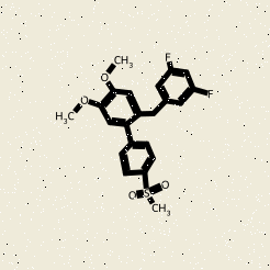 COc1cc(Cc2cc(F)cc(F)c2)c(-c2ccc(S(C)(=O)=O)cc2)cc1OC